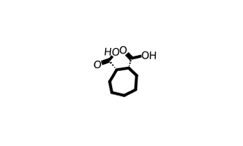 O=C(O)[C@H]1CCCCC[C@H]1C(=O)O